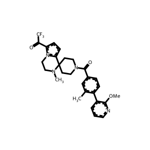 COc1ncccc1-c1ccc(C(=O)N2CCC3(CC2)c2ccc(C(=O)C(F)(F)F)n2CCN3C)cc1C